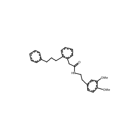 COc1ccc(CCNC(=O)Cc2ccccc2CCCc2ccccc2)cc1OC